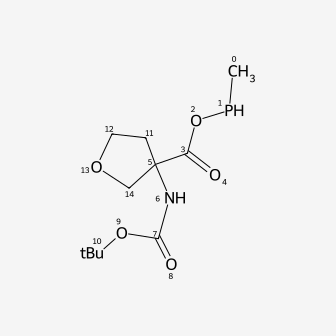 CPOC(=O)C1(NC(=O)OC(C)(C)C)CCOC1